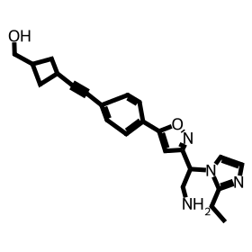 CCc1nccn1C(CN)c1cc(-c2ccc(C#CC3CC(CO)C3)cc2)on1